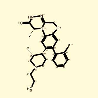 C[C@@H]1C(=O)NN=C2COc3cc(-c4ccccc4F)c([C@@H]4CCN(CCO)C[C@@H]4C)cc3N21